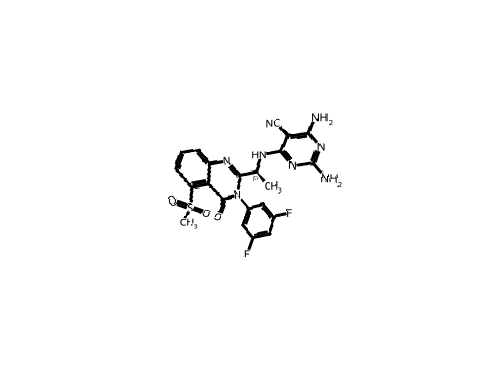 C[C@H](Nc1nc(N)nc(N)c1C#N)c1nc2cccc(S(C)(=O)=O)c2c(=O)n1-c1cc(F)cc(F)c1